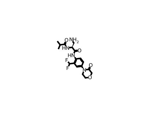 CC(C)C(=O)N[C@@H](CN)C(=O)Nc1ccc(N2CCOCC2=O)cc1C(F)F